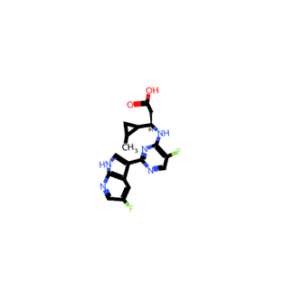 CC1CC1[C@@H](CC(=O)O)Nc1nc(-c2c[nH]c3ncc(F)cc23)ncc1F